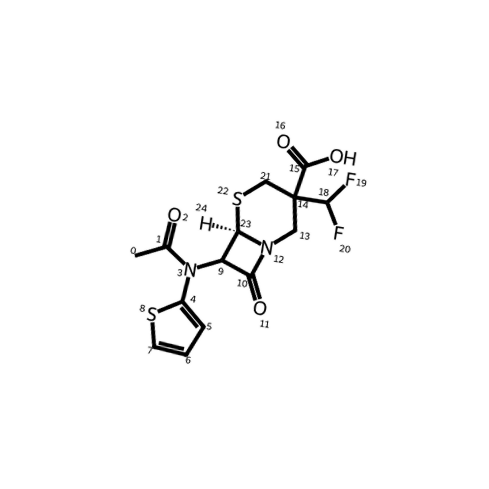 CC(=O)N(c1cccs1)C1C(=O)N2CC(C(=O)O)(C(F)F)CS[C@H]12